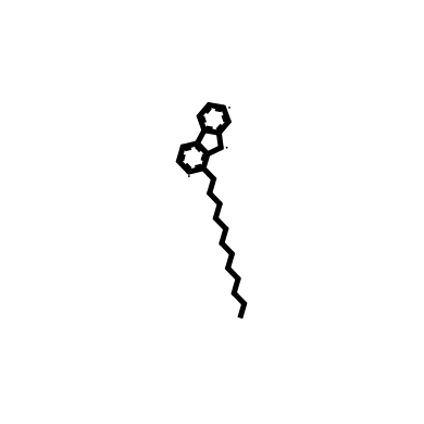 CCCCCCCCCCCCc1[c]ccc2c1[CH]c1c[c]ccc1-2